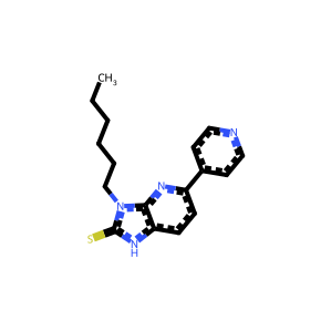 CCCCCCn1c(=S)[nH]c2ccc(-c3ccncc3)nc21